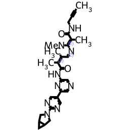 CC#CCNC(=O)/C(C)=C(/N=C\C(C)=C(\C)C(=O)Nc1cncc(-c2cnc(N3CC4CC4C3)nc2)n1)NC